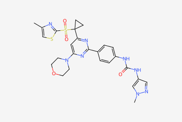 Cc1csc(S(=O)(=O)C2(c3cc(N4CCOCC4)nc(-c4ccc(NC(=O)Nc5cnn(C)c5)cc4)n3)CC2)n1